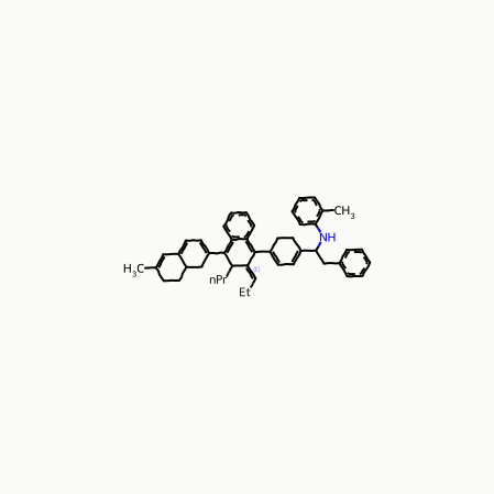 CC/C=C1/C(C2=CC=C(C(Cc3ccccc3)Nc3ccccc3C)CC2)=c2ccccc2=C(C2=CC=C3C=C(C)CCC3C2)C1CCC